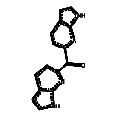 O=C(c1ccc2cc[nH]c2n1)c1ccc2cc[nH]c2n1